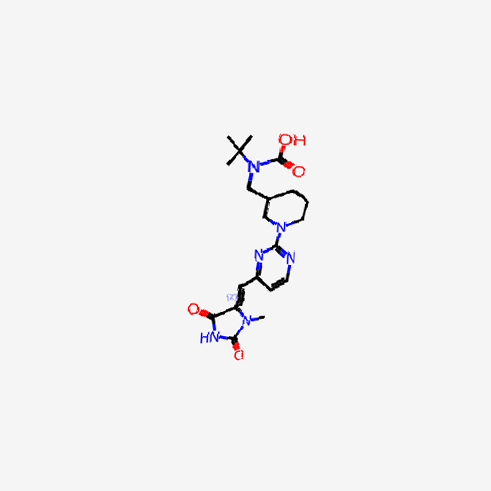 CN1C(=O)NC(=O)/C1=C/c1ccnc(N2CCCC(CN(C(=O)O)C(C)(C)C)C2)n1